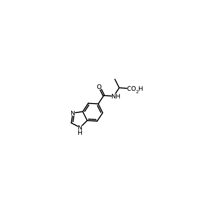 CC(NC(=O)c1ccc2[nH]cnc2c1)C(=O)O